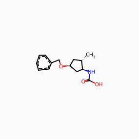 C[C@H]1C[C@H](OCc2ccccc2)C[C@@H]1NC(=O)O